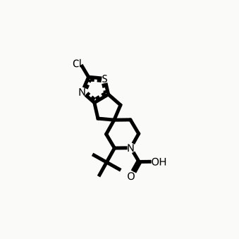 CC(C)(C)C1CC2(CCN1C(=O)O)Cc1nc(Cl)sc1C2